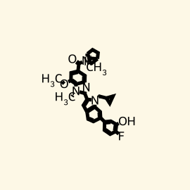 COc1cc(C(=O)N2CC3CCC2[C@@H]3C)cc2nc(-c3cc4ccc(-c5ccc(F)c(O)c5)cc4n3CC3CC3)n(C)c12